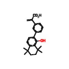 C=C(C(=O)O)c1cccc(-c2ccc3c(c2O)C(C)(C)CCC3(C)C)c1